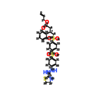 C=CCOC(=O)CC(CS(=O)(=O)c1ccc(S(=O)(=O)c2ccc(NNC3=NCCS3)cc2)cc1)c1ccccc1